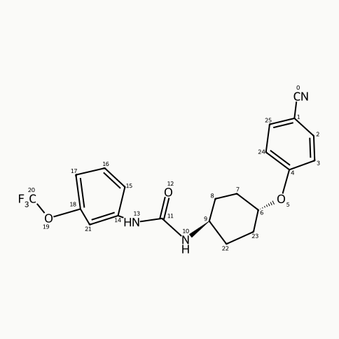 N#Cc1ccc(O[C@H]2CC[C@H](NC(=O)Nc3cccc(OC(F)(F)F)c3)CC2)cc1